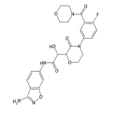 Nc1noc2cc(NC(=O)C(O)C3OCCN(c4ccc(F)c(C(=O)N5CCOCC5)c4)C3=O)ccc12